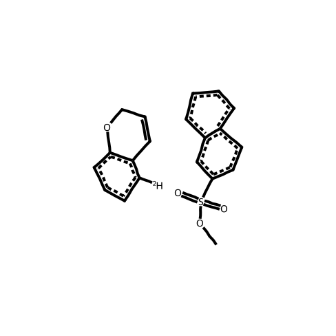 COS(=O)(=O)c1ccc2ccccc2c1.[2H]c1cccc2c1C=CCO2